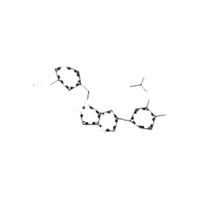 COc1cncc(Cn2ncc3ncc(-c4ccc(F)c(OC(F)F)c4)cc32)c1